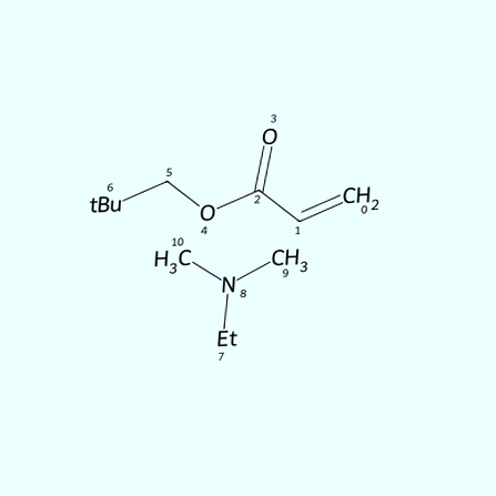 C=CC(=O)OCC(C)(C)C.CCN(C)C